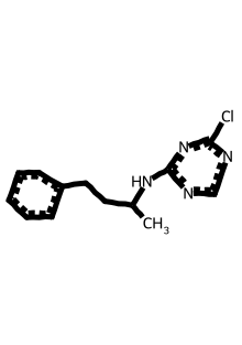 CC(CCc1ccccc1)Nc1ncnc(Cl)n1